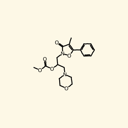 COC(=O)OC(CN1CCOCC1)Cn1oc(-c2ccccc2)c(C)c1=O